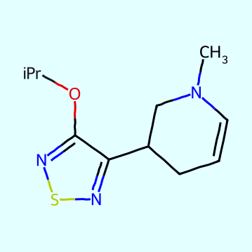 CC(C)Oc1nsnc1C1CC=CN(C)C1